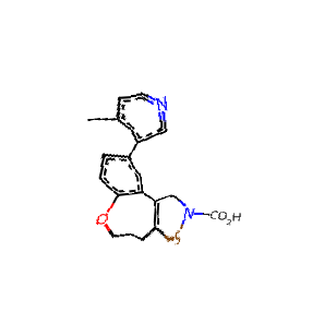 Cc1ccncc1-c1ccc2c(c1)C1=C(CCO2)SN(C(=O)O)C1